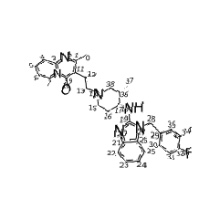 Cc1nc2ccccn2c(=O)c1CCN1CC[C@@H](Nc2nc3ccccc3n2Cc2ccc(F)cc2)[C@@H](C)C1